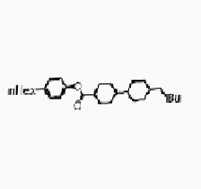 CCCCCCc1ccc(OC(=O)C2CCC(C3CCC(CC(C)CC)CC3)CC2)cc1